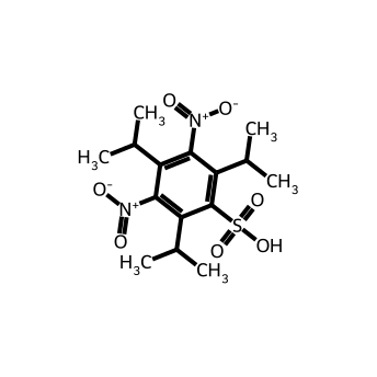 CC(C)c1c([N+](=O)[O-])c(C(C)C)c(S(=O)(=O)O)c(C(C)C)c1[N+](=O)[O-]